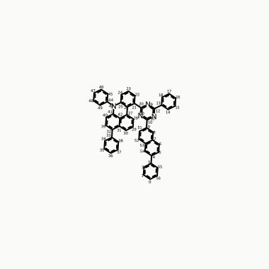 c1ccc(-c2ccc3cc(-c4nc(-c5ccccc5)nc(-c5cccc6c5-c5cccc7c(-c8ccccc8)ccc(c57)N6c5ccccc5)n4)ccc3c2)cc1